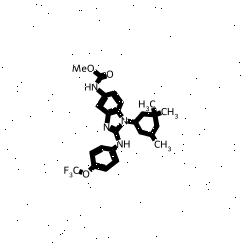 COC(=O)Nc1ccc2c(c1)nc(Nc1ccc(OC(F)(F)F)cc1)n2C1CC(C)CC(C)(C)C1